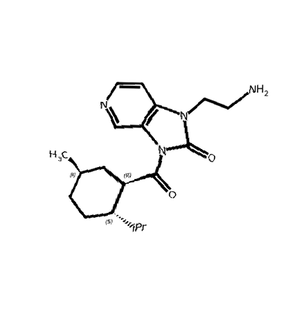 CC(C)[C@@H]1CC[C@@H](C)C[C@H]1C(=O)n1c(=O)n(CCN)c2ccncc21